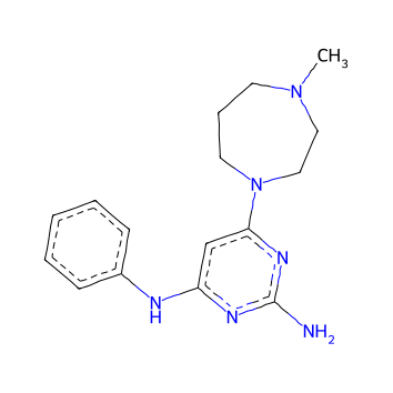 CN1CCCN(c2cc(Nc3ccccc3)nc(N)n2)CC1